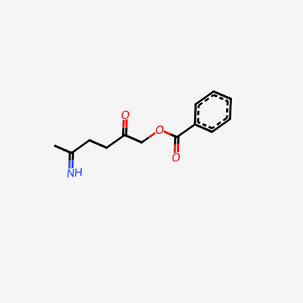 CC(=N)CCC(=O)COC(=O)c1ccccc1